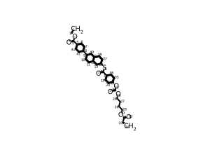 C=COC(=O)c1ccc(-c2ccc3cc(SC(=O)c4ccc(OC(=O)OCCCCOC(=O)C=C)cc4)ccc3c2)cc1